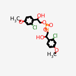 COc1ccc(C(O)CO[PH](=O)OCC(O)c2ccc(OC)cc2Cl)c(Cl)c1